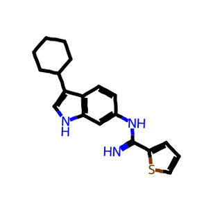 N=C(Nc1ccc2c(C3CCCCC3)c[nH]c2c1)c1cccs1